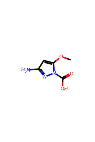 COc1cc(N)nn1C(=O)O